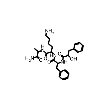 CC(NC(=O)C(CCCCN)NC(=O)C(Cc1ccccc1)NC(=O)C(O)Cc1ccccc1)C(N)=O